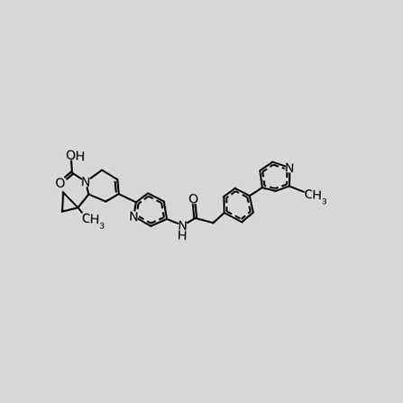 Cc1cc(-c2ccc(CC(=O)Nc3ccc(C4=CCN(C(=O)O)C(C5(C)CC5)C4)nc3)cc2)ccn1